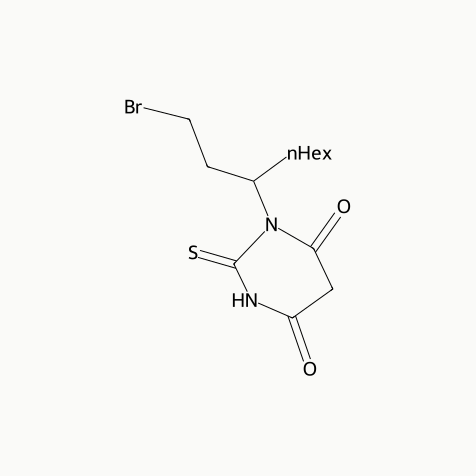 CCCCCCC(CCBr)N1C(=O)CC(=O)NC1=S